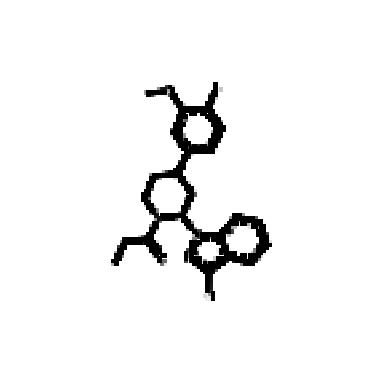 CCC(=O)N1CCN(c2ccc(Cl)c(OC)c2)CC1n1nc(Cl)c2ccccc21